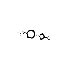 N[C@H]1CC[C@H](N2CC(O)C2)CC1